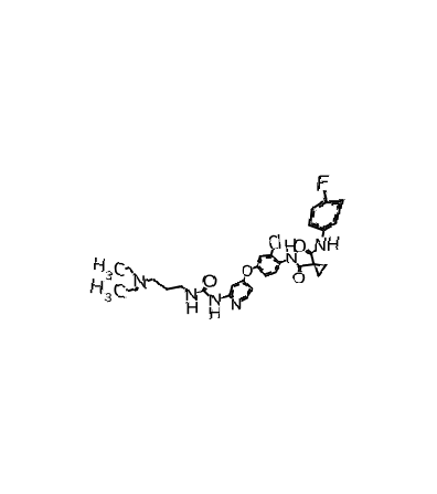 CCN(CC)CCCNC(=O)Nc1cc(Oc2ccc(NC(=O)C3(C(=O)Nc4ccc(F)cc4)CC3)c(Cl)c2)ccn1